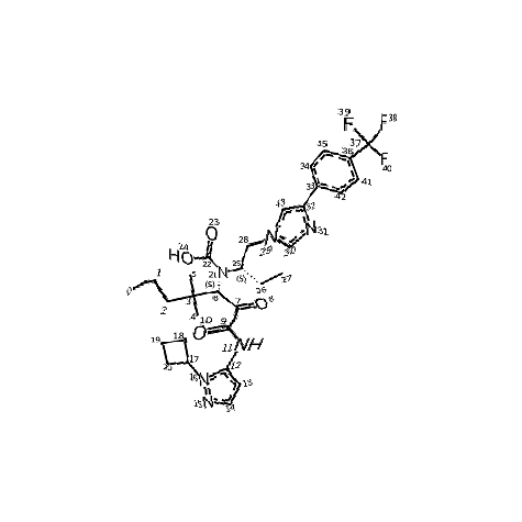 CCCC(C)(C)[C@@H](C(=O)C(=O)Nc1ccnn1C1CCC1)N(C(=O)O)[C@@H](CC)Cn1cnc(-c2ccc(C(F)(F)F)cc2)c1